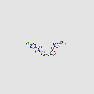 O=C(NC1CC2CCC1C/C2=C\c1cccc(Oc2ccc(C(F)(F)F)cn2)c1)c1ccc(Cl)nc1